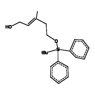 CC(=CCO)CCO[Si](c1ccccc1)(c1ccccc1)C(C)(C)C